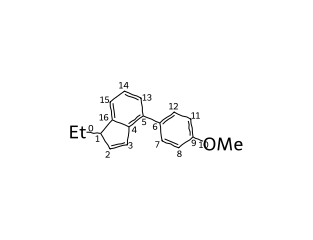 CCC1C=Cc2c(-c3ccc(OC)cc3)cccc21